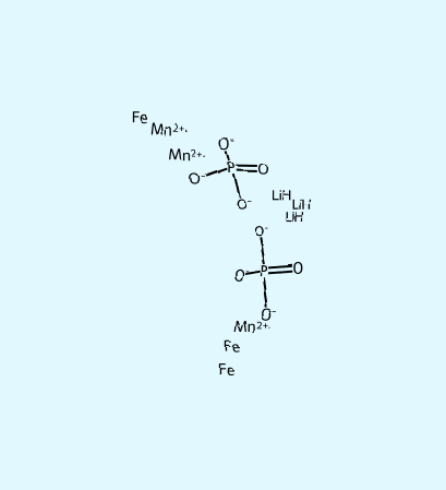 O=P([O-])([O-])[O-].O=P([O-])([O-])[O-].[Fe].[Fe].[Fe].[LiH].[LiH].[LiH].[Mn+2].[Mn+2].[Mn+2]